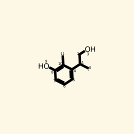 [CH2]C(CO)c1cccc(O)c1C